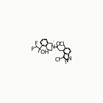 C[C@H]1c2cccc(C(C)(O)C(F)F)c2CCN1C(=O)Cc1c(Cl)ccc2nn(C)c(Cl)c12